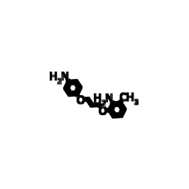 Cc1cccc(OCCCOc2ccc(N)cc2)c1N